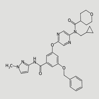 Cn1ccc(NC(=O)c2cc(OCc3ccccc3)cc(Oc3cnc(N(CC4CC4)C(=O)C4CCOCC4)cn3)c2)n1